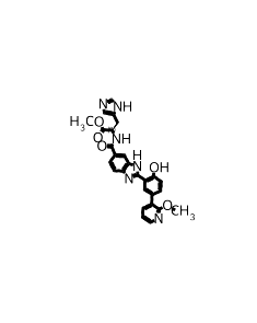 COC(=O)[C@@H](Cc1cnc[nH]1)NC(=O)c1ccc2nc(-c3cc(-c4cccnc4OC)ccc3O)[nH]c2c1